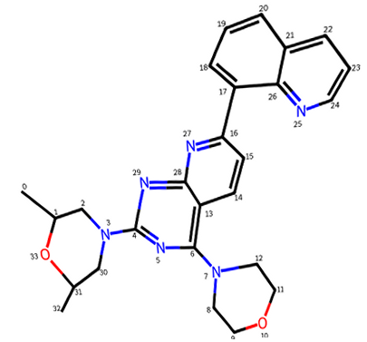 CC1CN(c2nc(N3CCOCC3)c3ccc(-c4cccc5cccnc45)nc3n2)CC(C)O1